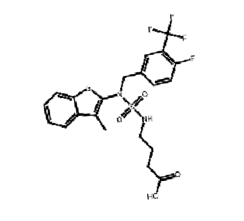 Cc1c(N(Cc2ccc(F)c(C(F)(F)F)c2)S(=O)(=O)NCCCC(=O)O)sc2ccccc12